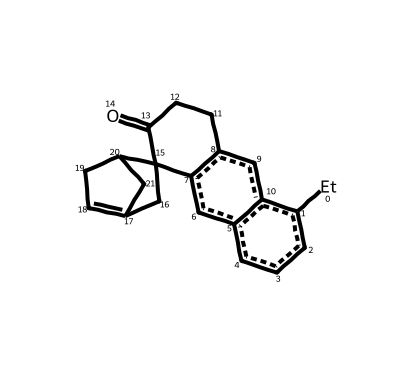 CCc1cccc2cc3c(cc12)CCC(=O)C31CC2=CCC1C2